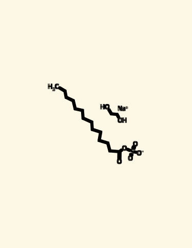 CCCCCCCCCCCCCC(=O)OS(=O)(=O)[O-].OCCO.[Na+]